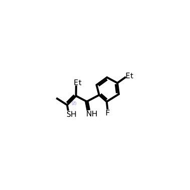 CC/C(C(=N)c1ccc(CC)cc1F)=C(\C)S